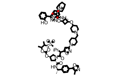 Cc1ncoc1-c1ccc([C@H](C)NC(=O)[C@@H]2C[C@@H](OC(=O)OC(C)C(C)SS(C)(=O)=O)CN2C(=O)C(c2cc(N3CCC(CN4CCC(OC5CC(Oc6cc(N7C8CCC7CN(c7cc(-c9ccccc9O)nnc7N)C8)ccn6)C5)CC4)CC3)no2)C(C)C)cc1